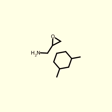 CC1CCCC(C)C1.NCC1CO1